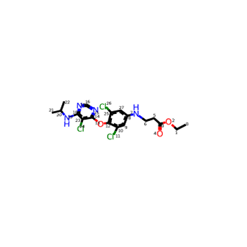 CCOC(=O)CCNc1cc(Cl)c(Oc2ncnc(NC(C)C)c2Cl)c(Cl)c1